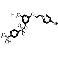 Cc1cc(OCC[n+]2ccc(N)cc2)cc(OS(=O)(=O)c2ccc(N(C)C)cc2)c1